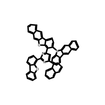 c1ccc2cc3c(cc2c1)oc1c(-c2cc(-c4cccc5ccccc45)nc(-c4cccc5c4oc4ccccc45)n2)c(-n2c4ccccc4c4cc5ccccc5cc42)ccc13